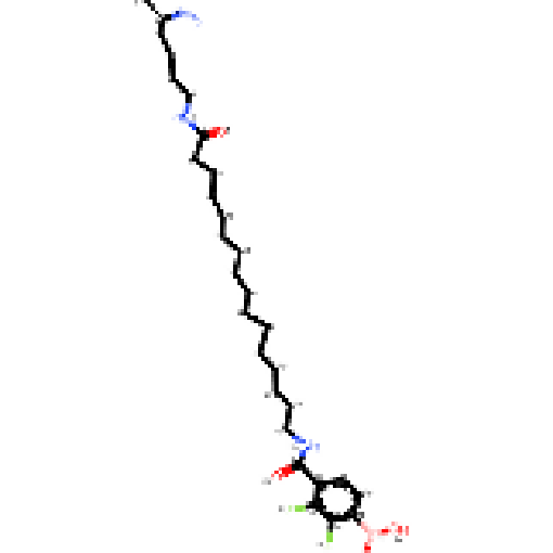 N[C@@H](CCCCNC(=O)CCCCCCCCCCCCCCCNC(=O)c1ccc(B(O)O)c(F)c1F)C(=O)O